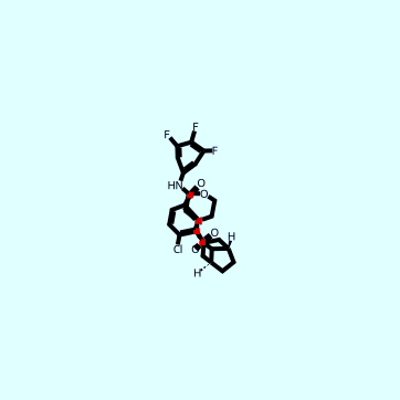 O=C(Nc1cc(F)c(F)c(F)c1)c1ccc(Cl)c(S(=O)(=O)C2[C@H]3CC[C@H]2CC(CN2CCOCC2)C3)c1